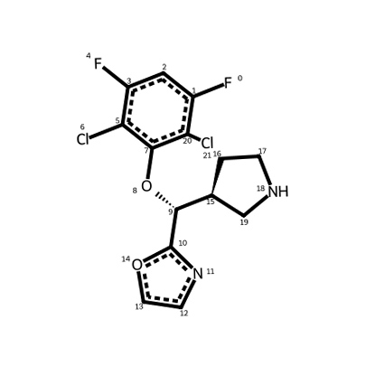 Fc1cc(F)c(Cl)c(O[C@@H](c2ncco2)[C@H]2CCNC2)c1Cl